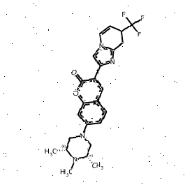 C[C@@H]1CN(c2ccc3cc(-c4cn5c(n4)CC(C(F)(F)F)C=C5)c(=O)oc3c2)C[C@H](C)N1C